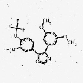 COc1cc(OC)cc(-c2ncoc2-c2ccc(OC(F)(F)F)c(N)c2)c1